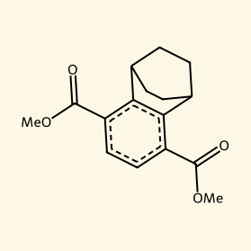 COC(=O)c1ccc(C(=O)OC)c2c1C1CCC2CC1